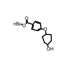 CCCCOC(=O)c1ccc(OC2CCC(O)CC2)cc1